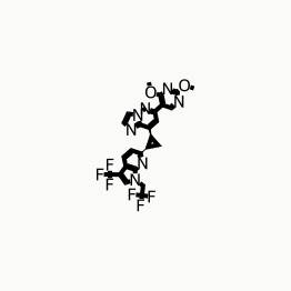 COc1ncc(-c2cc([C@H]3C[C@@H]3c3ccc4c(C(F)(F)F)cn(CC(F)(F)F)c4n3)c3nccn3n2)c(OC)n1